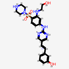 O=S(=O)(c1ccc(Nc2ncc(/C=C/c3cccc(O)c3)cn2)cc1NCCO)N1CCNCC1